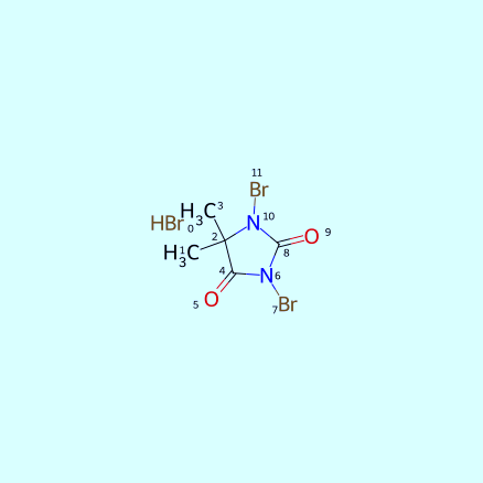 Br.CC1(C)C(=O)N(Br)C(=O)N1Br